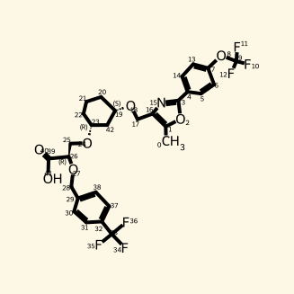 Cc1oc(-c2ccc(OC(F)(F)F)cc2)nc1CO[C@H]1CCC[C@@H](OC[C@@H](OCc2ccc(C(F)(F)F)cc2)C(=O)O)C1